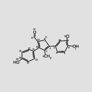 Cc1c(-c2ccc(O)c(Cl)c2)sc(C=O)c1-c1ccc(O)cc1